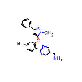 Cn1nc(-c2ccccc2)cc1Oc1cc(C#N)ccc1-c1ncc(CN)cn1